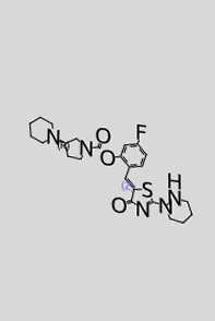 O=C1N=C(N2CCCCN2)S/C1=C\c1ccc(F)cc1OC(=O)N1CC[C@@H](N2CCCCC2)C1